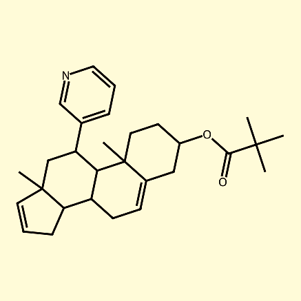 CC(C)(C)C(=O)OC1CCC2(C)C(=CCC3C4CC=CC4(C)CC(c4cccnc4)C32)C1